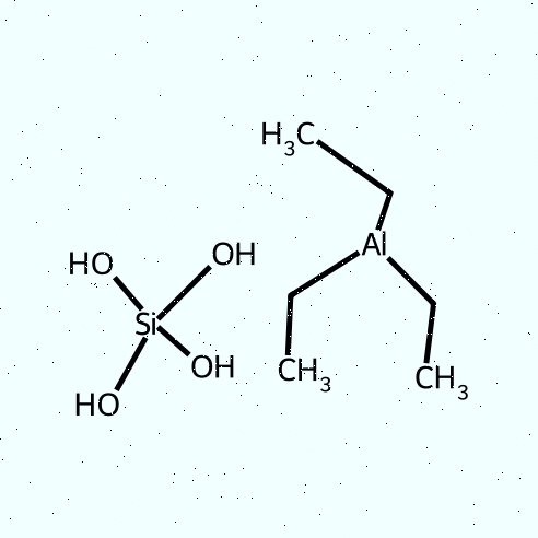 C[CH2][Al]([CH2]C)[CH2]C.O[Si](O)(O)O